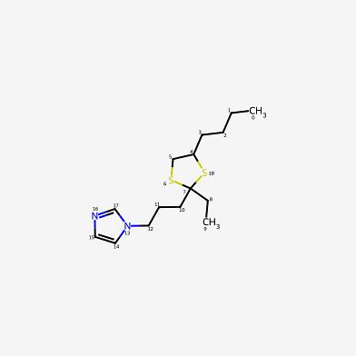 CCCCC1CSC(CC)(CCCn2ccnc2)S1